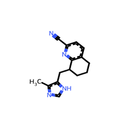 Cc1nc[nH]c1CC1CCCc2ccc(C#N)nc21